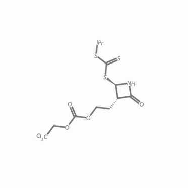 CC(C)SC(=S)S[C@H]1NC(=O)[C@@H]1CCOC(=O)OCC(Cl)(Cl)Cl